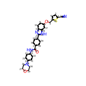 N#Cc1ccc(COc2ccc3nc(-c4ccc(C(=O)Nc5ccc(N6CCOCC6)cc5)cc4)[nH]c3c2)s1